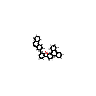 c1ccc2c(c1)ccc1cc(-c3cccc4c3oc3c4ccc4c5ccccc5c5ccccc5c43)ccc12